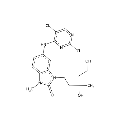 Cn1c(=O)n(CCC(C)(O)CCO)c2cc(Nc3nc(Cl)ncc3Cl)ccc21